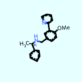 COc1ccc(CN[C@H](C)c2ccccc2)cc1-c1ccccn1